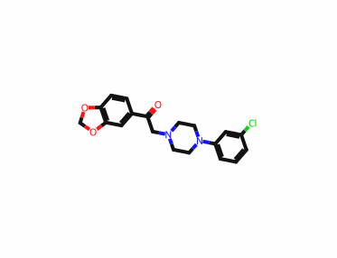 O=C(CN1CCN(c2cccc(Cl)c2)CC1)c1ccc2c(c1)OCO2